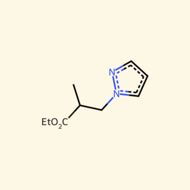 CCOC(=O)C(C)Cn1cccn1